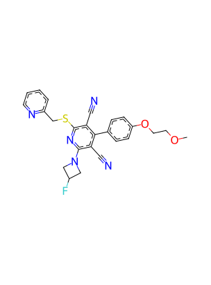 COCCOc1ccc(-c2c(C#N)c(SCc3ccccn3)nc(N3CC(F)C3)c2C#N)cc1